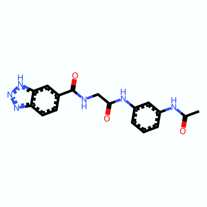 CC(=O)Nc1cccc(NC(=O)CNC(=O)c2ccc3nn[nH]c3c2)c1